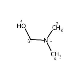 CN(C)[CH]O